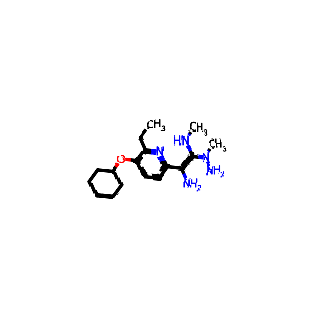 CCc1nc(/C(N)=C(\NC)N(C)N)ccc1OC1CCCCC1